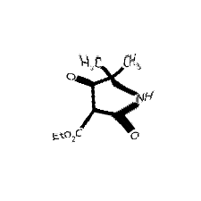 CCOC(=O)C1C(=O)NC(C)(C)C1=O